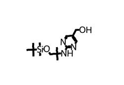 CC(C)(CO[Si](C)(C)C(C)(C)C)Nc1ncc(CO)cn1